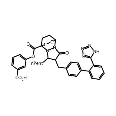 CCCCCC1C(Cc2ccc(-c3ccccc3-c3nnn[nH]3)cc2)C(=O)N2C3CCC(C(=O)Oc4cccc(C(=O)OCC)c4)(CC3)N12